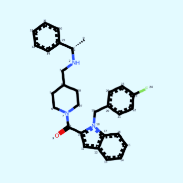 C[C@H](NCC1CCN(C(=O)c2cc3ccccc3n2Cc2ccc(F)cc2)CC1)c1ccccc1